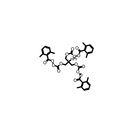 CCCC(COC(=O)OOC(=O)c1c(C)cccc1C)(COC(=O)OOC(=O)c1c(C)cccc1C)COC(=O)OOC(=O)c1c(C)cccc1C